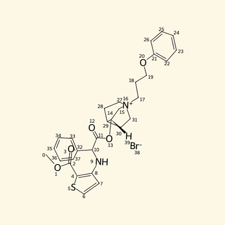 COC(=O)c1sccc1NC(C(=O)O[C@H]1C[N+]2(CCCOc3ccccc3)CCC1CC2)c1ccccc1.[Br-]